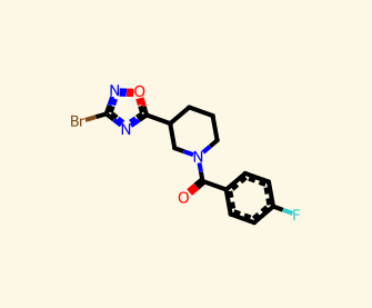 O=C(c1ccc(F)cc1)N1CCCC(c2nc(Br)no2)C1